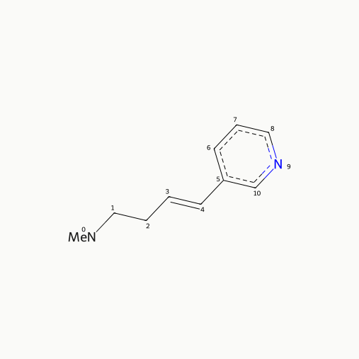 CNCC/C=C/c1cccnc1